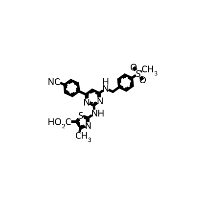 Cc1nc(Nc2nc(NCc3ccc(S(C)(=O)=O)cc3)cc(-c3ccc(C#N)cc3)n2)sc1C(=O)O